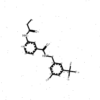 CCC(=O)Nc1cc(C(=O)NCc2cc(F)cc(C(F)(F)F)c2)ccn1